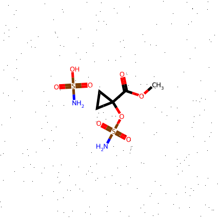 COC(=O)C1(OS(N)(=O)=O)CC1.NS(=O)(=O)O